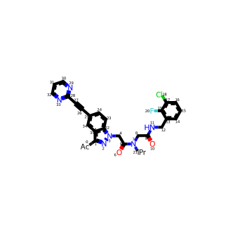 CC(=O)c1nn(CC(=O)N(CC(=O)NCc2cccc(Cl)c2F)C(C)C)c2ccc(C#Cc3ncccn3)cc12